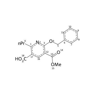 CCCc1nc(OCc2ccccc2)c(C(=O)OC)cc1C(=O)O